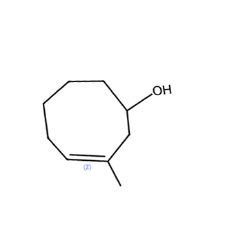 C/C1=C/CCCCC(O)C1